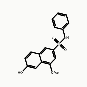 COc1cc(S(=O)(=O)Nc2ccccc2)cc2ccc(O)cc12